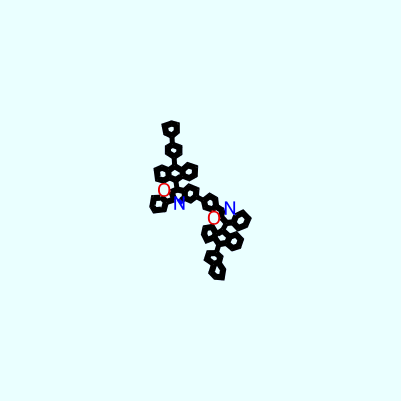 c1ccc(-c2ccc(-c3c4ccccc4c(-c4c5ccc(-c6ccc7c(c6)oc6c(-c8c9ccccc9c(-c9ccc%10ccccc%10c9)c9ccccc89)c8ccccc8nc67)cc5nc5c4oc4ccccc45)c4ccccc34)cc2)cc1